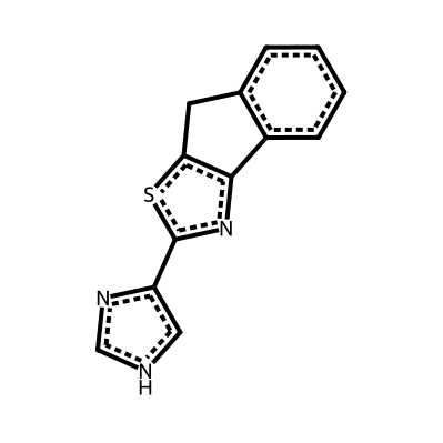 c1ccc2c(c1)Cc1sc(-c3c[nH]cn3)nc1-2